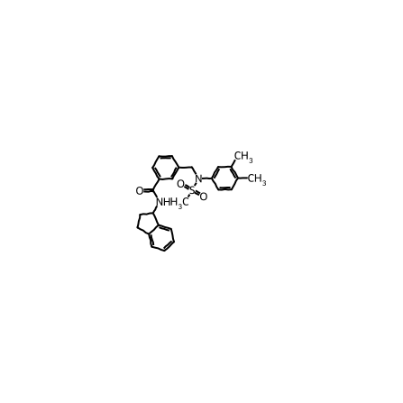 Cc1ccc(N(Cc2cccc(C(=O)NC3CCc4ccccc43)c2)S(C)(=O)=O)cc1C